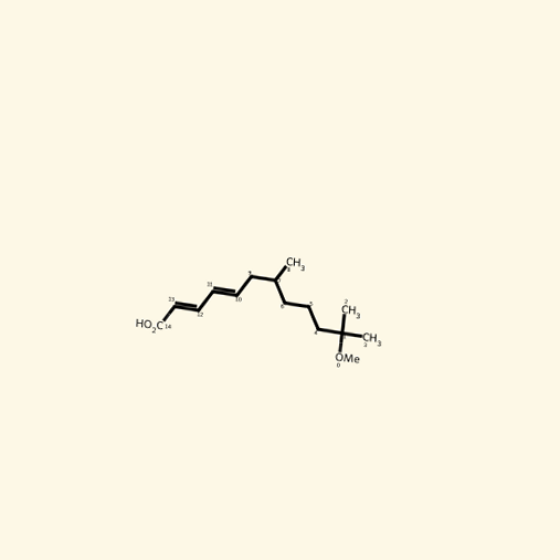 COC(C)(C)CCCC(C)C/C=C/C=C/C(=O)O